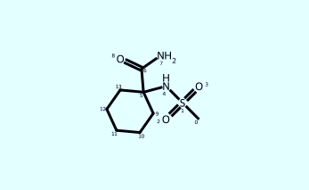 CS(=O)(=O)NC1(C(N)=O)CCCCC1